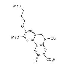 COCCCOc1cc2c(cc1OC)-c1cc(=O)c(C(=O)O)cn1N(C(C)(C)C)C2